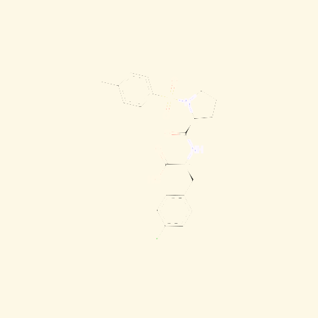 Cc1ccc(S(=O)(=O)N2CCC[C@H]2C(=O)N[C@@H](Cc2ccc(Cl)cc2)C(=O)O)cc1